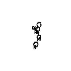 O=[N+]([O-])c1ccccc1CNc1csc(-c2ccncc2)c1